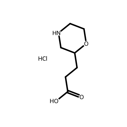 Cl.O=C(O)CCC1CNCCO1